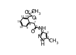 Cc1cc(NC(=O)Cc2ccccc2S(C)(=O)=O)n[nH]1